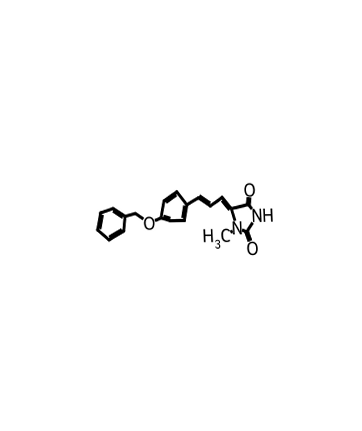 CN1C(=O)NC(=O)C1=CC=Cc1ccc(OCc2ccccc2)cc1